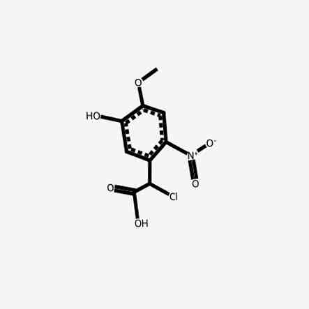 COc1cc([N+](=O)[O-])c(C(Cl)C(=O)O)cc1O